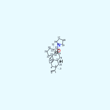 C=C[C@@]1(C)CC=C2[C@@H](CC[C@@H]3[C@](C)(C(=O)N4CCCC4)CCC[C@@]23C)C1